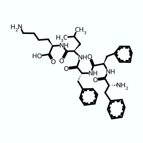 CC(C)C[C@@H](NC(=O)[C@@H](Cc1ccccc1)NC(=O)[C@@H](Cc1ccccc1)NC(=O)[C@H](N)Cc1ccccc1)C(=O)N[C@H](CCCCN)C(=O)O